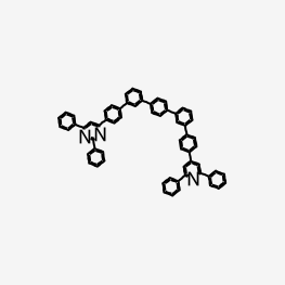 c1ccc(-c2cc(-c3ccc(-c4cccc(-c5ccc(-c6cccc(-c7ccc(-c8cc(-c9ccccc9)nc(-c9ccccc9)n8)cc7)c6)cc5)c4)cc3)cc(-c3ccccc3)n2)cc1